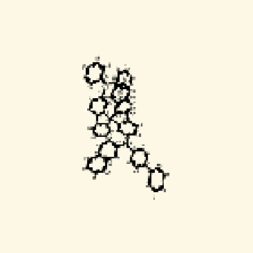 c1ccc(-c2ccc(N(c3ccc4c(c3)C3(c5ccccc5-c5ccc(N(c6ccccc6)c6ccccc6)cc53)c3c-4oc4ccccc34)c3ccc4ccccc4c3)cc2)cc1